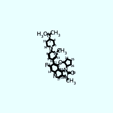 CN(C)C1CCN(C2C=CC(c3c(F)cc4ncc5c6c4c3OC3CCCC3n6c(=O)n5C)=CN2C)CC1